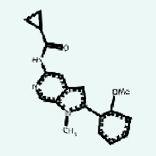 COc1ccccc1-c1cc2cc(NC(=O)C3CC3)ncc2n1C